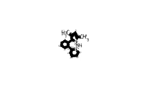 Cc1cc(C)n2c1-c1ccccc1-c1cccc[n+]1N2